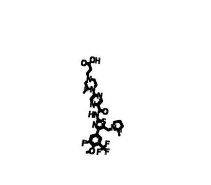 COc1c(F)cc(-c2nc(NC(=O)c3cnc(N4CCN(CCC(=O)O)C[C@@H]4C)cn3)sc2CN2CCC[C@H]2C)cc1C(F)(F)F